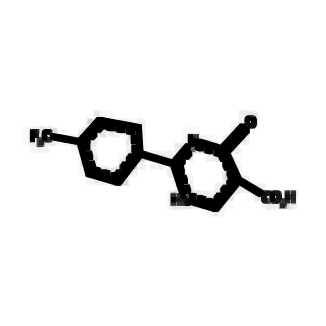 O=C(O)c1c[nH]c(-c2ccc(C(F)(F)F)cc2)nc1=O